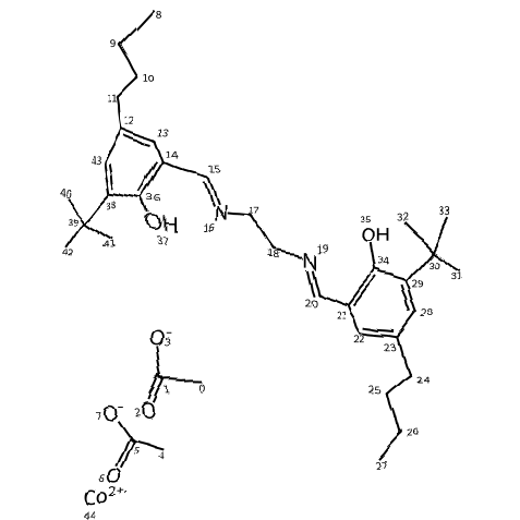 CC(=O)[O-].CC(=O)[O-].CCCCc1cc(C=NCCN=Cc2cc(CCCC)cc(C(C)(C)C)c2O)c(O)c(C(C)(C)C)c1.[Co+2]